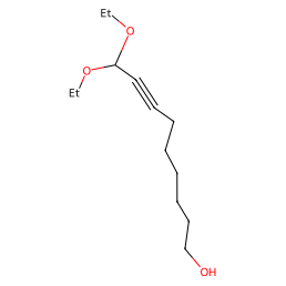 CCOC(C#CCCCCCCO)OCC